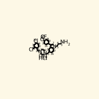 Cl.Cl.NCCCn1cc(-c2ccc(OC(F)(F)F)cc2)c2cc(CN3CCN(Cc4ccc(Cl)cc4Cl)CC3)ccc21